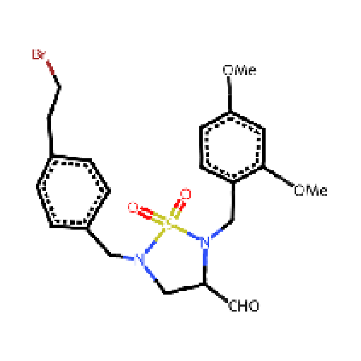 COc1ccc(CN2C(C=O)CN(Cc3ccc(CCBr)cc3)S2(=O)=O)c(OC)c1